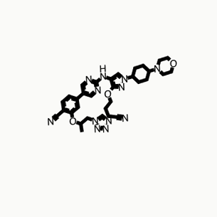 CC(Cn1cnnn1)Oc1cc(-c2cnc(Nc3cn(C4CCC(N5CCOCC5)CC4)nc3OCCCC#N)nc2)ccc1C#N